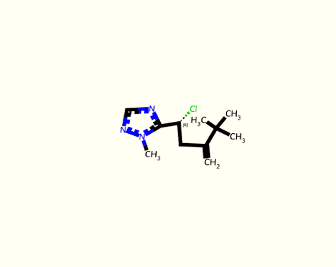 C=C(C[C@@H](Cl)c1ncnn1C)C(C)(C)C